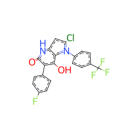 O=c1[nH]c2cc(Cl)n(-c3ccc(C(F)(F)F)cc3)c2c(O)c1-c1ccc(F)cc1